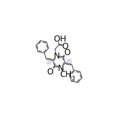 Cn1c(=O)/c(=C/c2ccccc2)n(CC(=O)O)c(=O)/c1=C/c1ccccc1